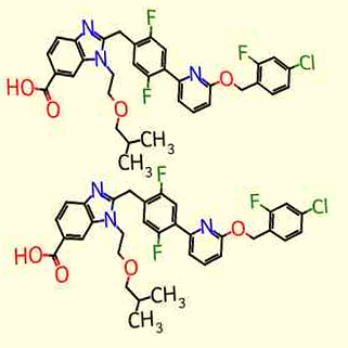 CC(C)COCCn1c(Cc2cc(F)c(-c3cccc(OCc4ccc(Cl)cc4F)n3)cc2F)nc2ccc(C(=O)O)cc21.CC(C)COCCn1c(Cc2cc(F)c(-c3cccc(OCc4ccc(Cl)cc4F)n3)cc2F)nc2ccc(C(=O)O)cc21